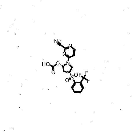 N#Cc1nccc(N2C[C@@H](S(=O)(=O)c3ccccc3C(F)(F)F)C[C@@H]2OC(=O)O)n1